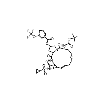 CC(C)(C)OC(=O)NC1CCCCC/C=C/C2CC2(C(=O)NS(=O)(=O)C2CC2)NC(=O)C2CC(OC(=O)c3cccc(OC(F)(F)F)c3)CN2C1=O